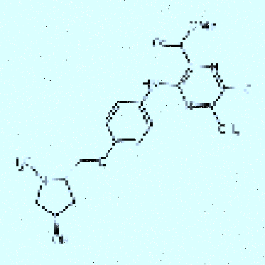 COC(=O)c1nc(Cl)c(C)nc1Nc1ccc(OC[C@@H]2C[C@@H](O)CN2C)cc1